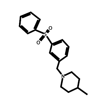 CC1CCN(Cc2cccc(S(=O)(=O)c3ccccc3)c2)CC1